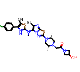 CCc1nc2sc(N3C[C@@H](C)N(CC(=O)N4CC(O)C4)C[C@H]3C)nn2c1N(C)C1NC(c2ccc(F)cc2)=C(C#N)S1